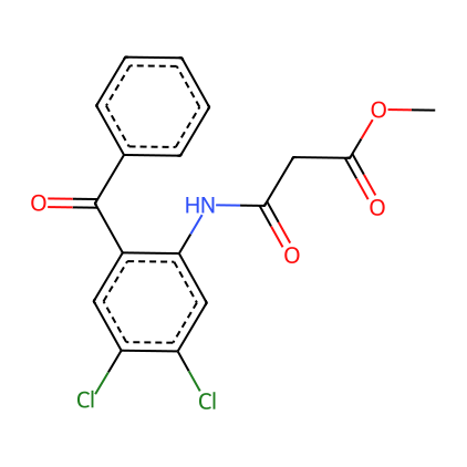 COC(=O)CC(=O)Nc1cc(Cl)c(Cl)cc1C(=O)c1ccccc1